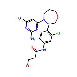 Cc1cc(N2CCCOC[C@H]2c2ccc(NC(=O)CCO)cc2Cl)nc(N)n1